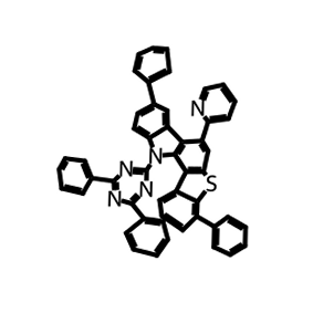 c1ccc(-c2ccc3c(c2)c2c(-c4ccccn4)cc4sc5c(-c6ccccc6)cccc5c4c2n3-c2nc(-c3ccccc3)nc(-c3ccccc3)n2)cc1